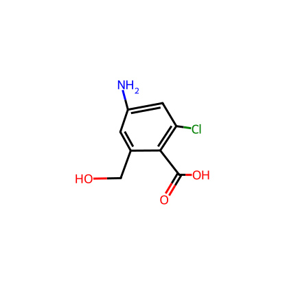 Nc1cc(Cl)c(C(=O)O)c(CO)c1